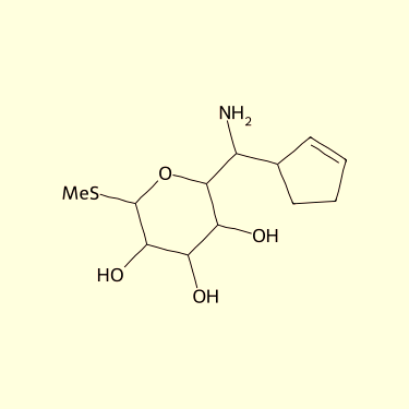 CSC1OC(C(N)C2C=CCC2)C(O)C(O)C1O